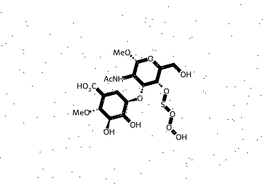 CO[C@@H]1OC(CO)[C@H](OSOOO)[C@H](O[C@@H]2CC(C(=O)O)[C@@H](OC)[C@H](O)C2O)C1NC(C)=O